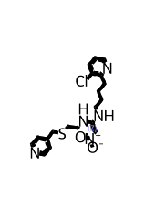 O=[N+]([O-])/C=C(/NCCCCc1ncccc1Cl)NCCSCc1ccncc1